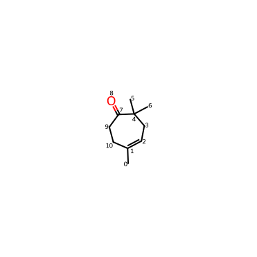 CC1=CCC(C)(C)C(=O)CC1